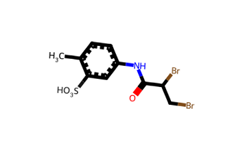 Cc1ccc(NC(=O)C(Br)CBr)cc1S(=O)(=O)O